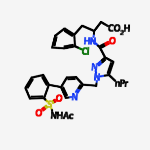 CCCc1cc(C(=O)NC(CC(=O)O)Cc2ccccc2Cl)nn1Cc1ccc(-c2ccccc2S(=O)(=O)NC(C)=O)cn1